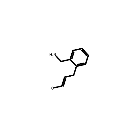 NCc1ccccc1CC=C[O]